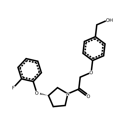 O=C(COc1ccc(CO)cc1)N1CC[C@H](Oc2ccccc2F)C1